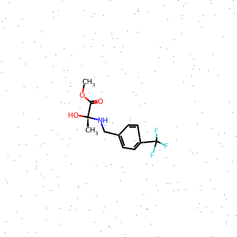 COC(=O)[C@@](C)(O)NCc1ccc(C(F)(F)F)cc1